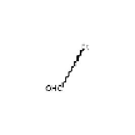 CCC=CC=CCCCCCCCCCCCC=O